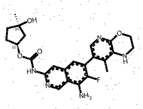 Cc1c(-c2cc3cc(NC(=O)O[C@H]4CC[C@@](C)(O)C4)ncc3c(N)c2F)cnc2c1NCCO2